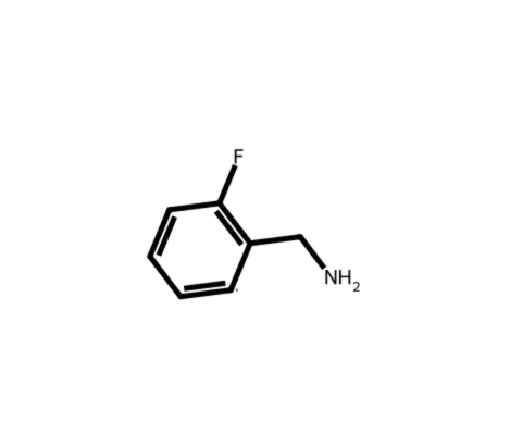 NCc1[c]cccc1F